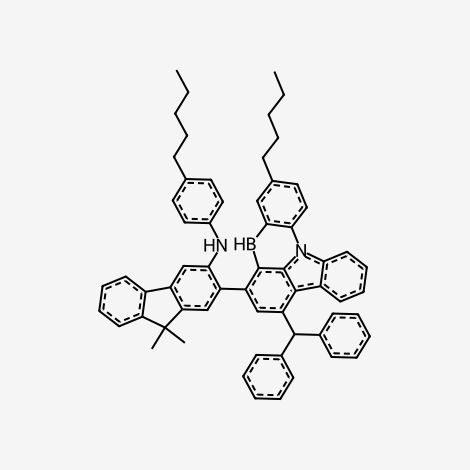 CCCCCc1ccc(Nc2cc3c(cc2-c2cc(C(c4ccccc4)c4ccccc4)c4c5ccccc5n5c4c2Bc2cc(CCCCC)ccc2-5)C(C)(C)c2ccccc2-3)cc1